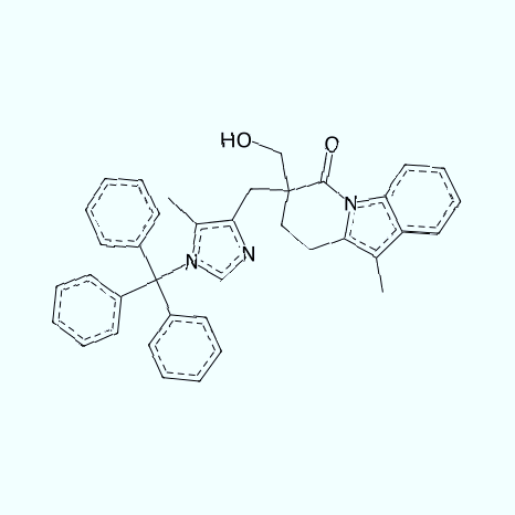 Cc1c2n(c3ccccc13)C(=O)C(CO)(Cc1ncn(C(c3ccccc3)(c3ccccc3)c3ccccc3)c1C)CC2